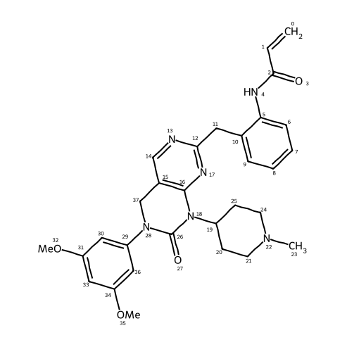 C=CC(=O)Nc1ccccc1Cc1ncc2c(n1)N(C1CCN(C)CC1)C(=O)N(c1cc(OC)cc(OC)c1)C2